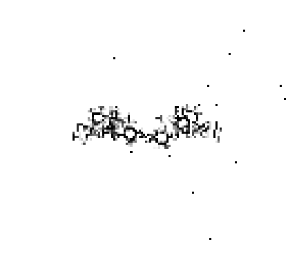 CCC(C)(C)c1cccc(C(C)(C)CC)c1OP(F)Oc1ccc(SSc2ccc(OP(F)Oc3c(C(C)(C)CC)cccc3C(C)(C)CC)cc2)cc1